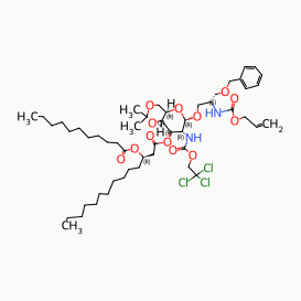 C=CCOC(=O)N[C@@H](COCc1ccccc1)CO[C@@H]1O[C@@H]2COC(C)(C)O[C@H]2[C@H](OC(=O)C[C@@H](CCCCCCCCCCC)OC(=O)CCCCCCCCCC)[C@H]1NC(=O)OCC(Cl)(Cl)Cl